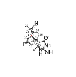 CN1C(=N)N[C@](C)(c2cccc(F)c2)C([C@@H]2C=CC(C3(C#N)CC3)=CC2)C1=O